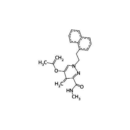 C=C(C)OC1=CN(CCc2cccc3ccccc23)N=C(C(=O)NC)C1=C